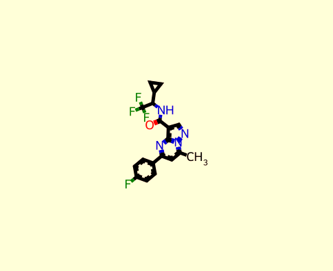 Cc1cc(-c2ccc(F)cc2)nc2c(C(=O)NC(C3CC3)C(F)(F)F)cnn12